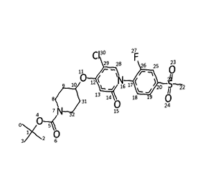 CC(C)(C)OC(=O)N1CCC(Oc2cc(=O)n(-c3ccc(S(C)(=O)=O)cc3F)cc2Cl)CC1